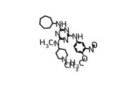 COc1ccc(Nc2nc(NC3CCCCCC3)nc(N(C)C3CCN(C)CC3)n2)cc1N=O